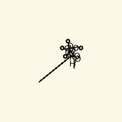 CC#CC#CC#CC#CC#CC#CC#CC#CC#CC#CC(=O)N[C@@H](COC1OC(COCc2ccccc2)C(OCc2ccccc2)C(OCc2ccccc2)C1OCc1ccccc1)[C@@H]1OC(C)(C)O[C@H]1CCCCCC